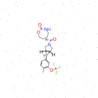 Cc1ccc([C@H]2[C@@H]3CN(C(=O)[C@@H]4CCOC(=O)NC4)C[C@@H]32)cc1OC(F)(F)F